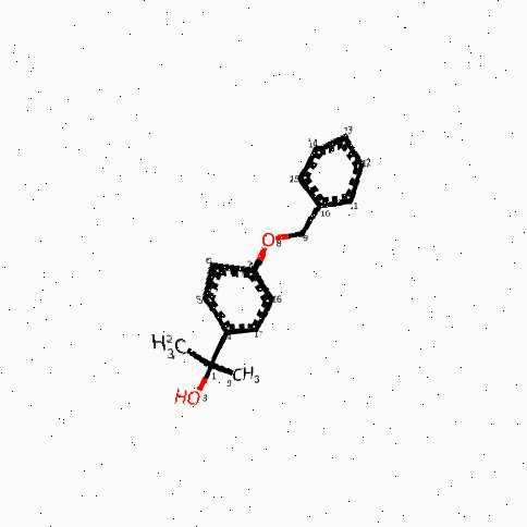 CC(C)(O)c1ccc(OCc2ccccc2)cc1